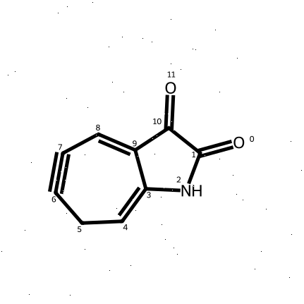 O=C1NC2=CCC#CC=C2C1=O